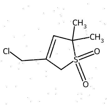 CC1(C)C=C(CCl)CS1(=O)=O